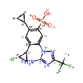 F.Nc1nc(C(F)(F)F)nn1-c1cc(S(=O)(=O)O)c(C2CC2)cc1C1CC1